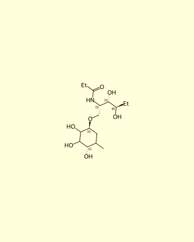 CCC(=O)N[C@@H](CO[C@H]1CC(C)[C@H](O)C(O)C1O)[C@H](O)[C@H](O)CC